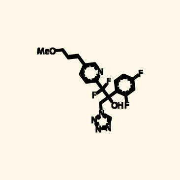 COCC=Cc1ccc(C(F)(F)C(O)(Cn2cnnn2)c2ccc(F)cc2F)nc1